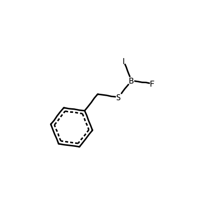 FB(I)SCc1ccccc1